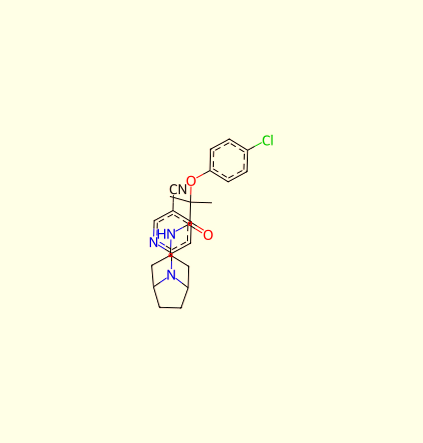 CC(C)(Oc1ccc(Cl)cc1)C(=O)NC1CC2CCC(C1)N2c1ccc(C#N)cn1